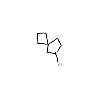 SN1CCC2(CCC2)C1